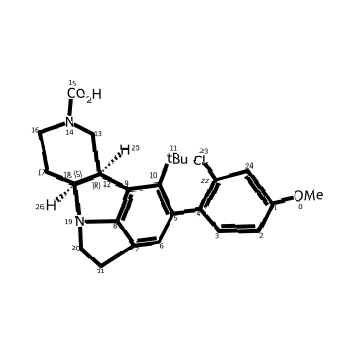 COc1ccc(-c2cc3c4c(c2C(C)(C)C)[C@@H]2CN(C(=O)O)CC[C@@H]2N4CC3)c(Cl)c1